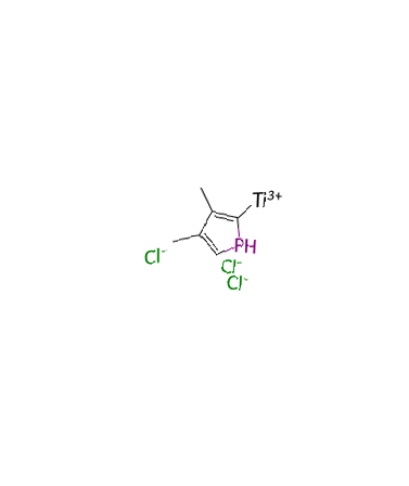 Cc1c[pH][c]([Ti+3])c1C.[Cl-].[Cl-].[Cl-]